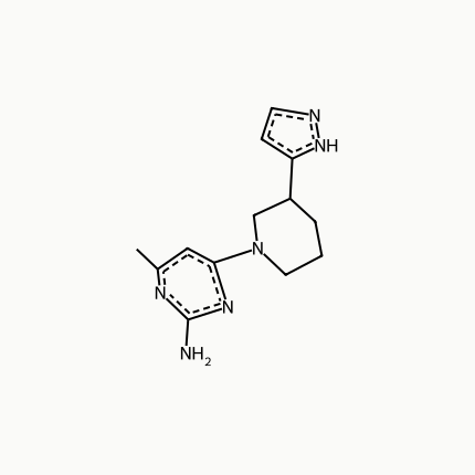 Cc1cc(N2CCCC(c3ccn[nH]3)C2)nc(N)n1